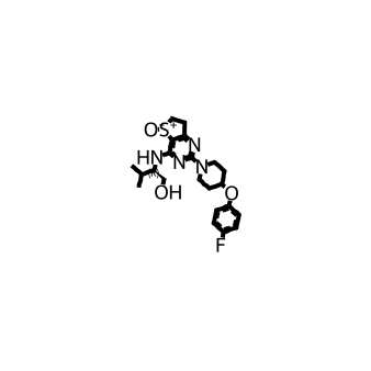 CC(C)[C@H](CO)Nc1nc(N2CCC(Oc3ccc(F)cc3)CC2)nc2c1[S+]([O-])CC2